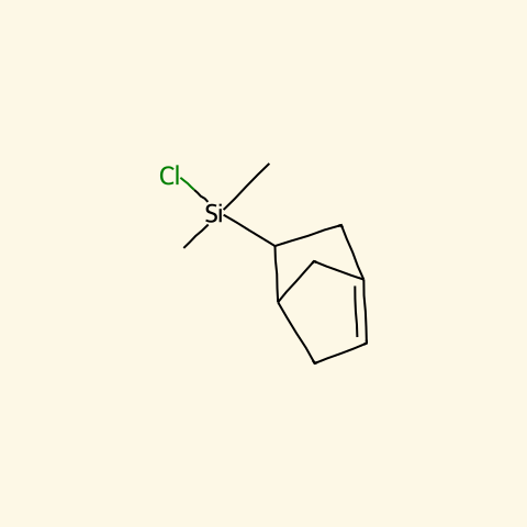 C[Si](C)(Cl)C1CC2=CCC1C2